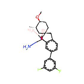 BC1(B)OC(N)=NC12c1cc(-c3cc(F)cc(F)c3)ccc1C[C@@]21CC[C@H](OC)[C@@H](C)C1